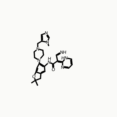 Cn1cncc1CN1CCN(c2cc3c(cc2NC(=O)/C(C=N)=C2\N=CC=CN2)CC(C)(C)O3)CC1